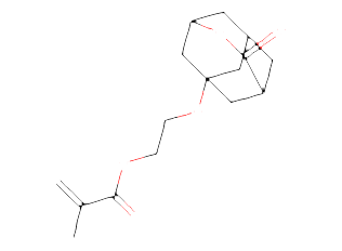 C=C(C)C(=O)OCCOC12CC3CC(C1)OC(=O)C(C3)C2